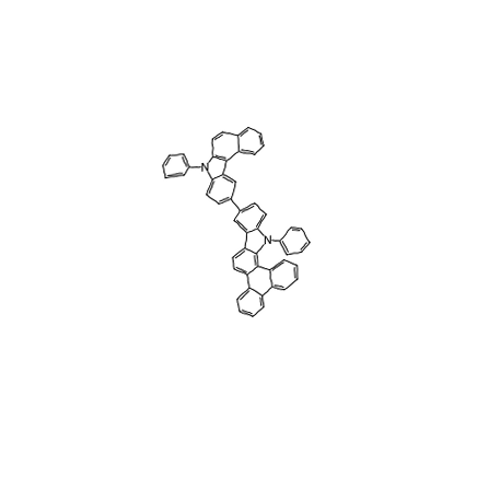 c1ccc(-n2c3ccc(-c4ccc5c(c4)c4ccc6c7ccccc7c7ccccc7c6c4n5-c4ccccc4)cc3c3c4ccccc4ccc32)cc1